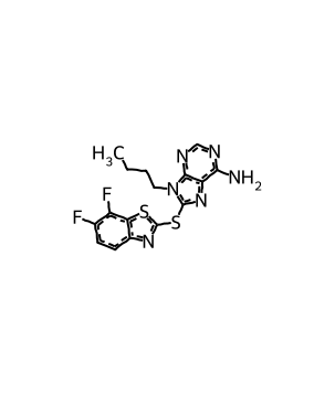 CCCCn1c(Sc2nc3ccc(F)c(F)c3s2)nc2c(N)ncnc21